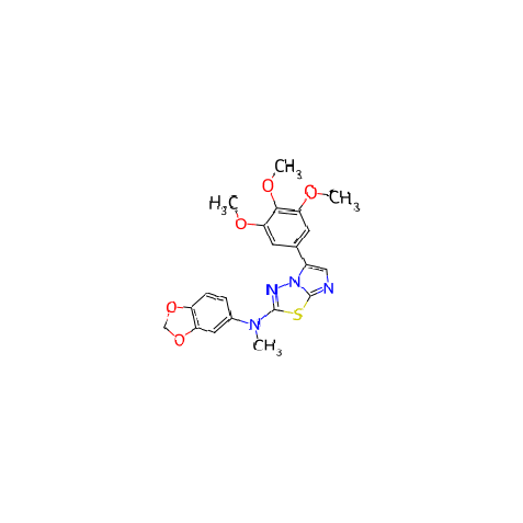 COc1cc(-c2cnc3sc(N(C)c4ccc5c(c4)OCO5)nn23)cc(OC)c1OC